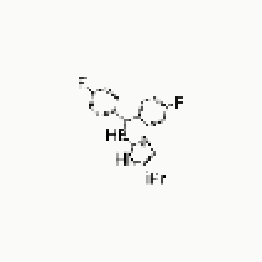 CC(C)c1cnc(BC(c2ccc(F)cc2)c2ccc(F)cc2)[nH]1